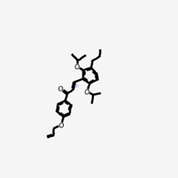 C=CCOc1ccc(C(=O)/C=C/c2c(OC(C)C)ccc(CCC)c2OC(C)C)cc1